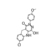 COc1ccc(-n2nc(O)c3c(c2=O)Cc2ccc(Cl)cc2N3)cc1